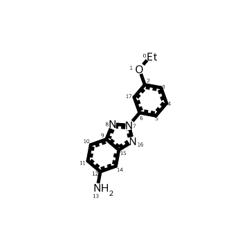 CCOc1cccc(-n2nc3ccc(N)cc3n2)c1